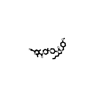 CCCCC1CN(CC2CCC(OC)CC2)C(=O)N1C1CCN(C2(C)CCN(C(=O)c3c(C)cc(C#N)nc3C)CC2)CC1